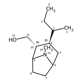 CCC(C)[C@H]1CC2CCC([C@@H]1CO)N2C